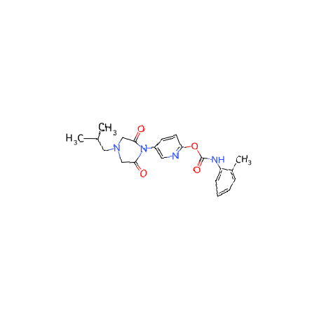 Cc1ccccc1NC(=O)Oc1ccc(N2C(=O)CN(CC(C)C)CC2=O)cn1